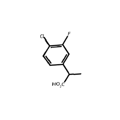 CC(C(=O)O)c1ccc(Cl)c(F)c1